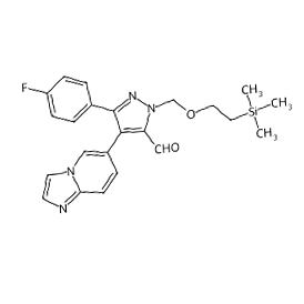 C[Si](C)(C)CCOCn1nc(-c2ccc(F)cc2)c(-c2ccc3nccn3c2)c1C=O